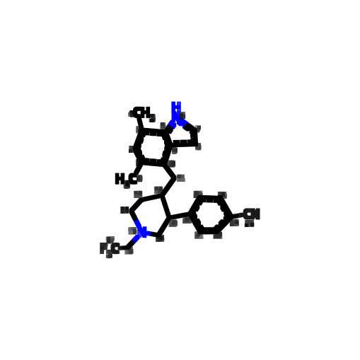 Cc1cc(C)c2[nH]ccc2c1CC1CCN(CC(F)(F)F)CC1c1ccc(C#N)cc1